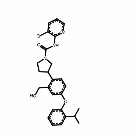 CC(C)c1ccccc1Oc1ccc(C2CCN(C(=O)Nc3ncccc3Cl)C2)c(CO)c1